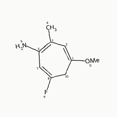 COC1=CC(C)=C(N)C=C(F)C1